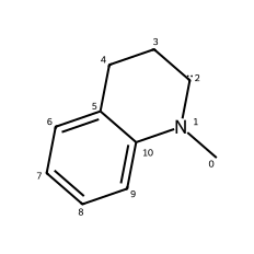 CN1[C]CCc2ccccc21